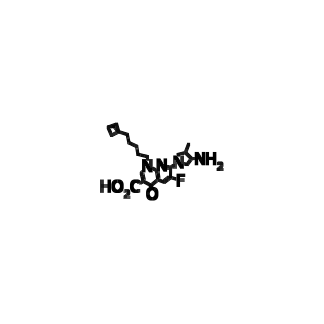 CC1CN(c2nc3c(cc2F)c(=O)c(C(=O)O)cn3CCCCCC23CC(C2)C3)CC1N